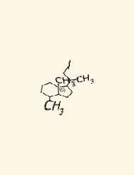 CC1CCC[C@@]2(C)C1CCC2[C@H](C)CI